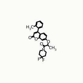 Cc1ccccc1-c1cc(=O)oc2cc(OC(C)C(=O)N3CCC(F)(F)CC3)ccc12